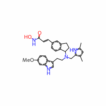 COc1ccc2c(CCN(Cc3[nH]c(C)cc3C)C3CCc4cc(C=CC(=O)NO)ccc43)c[nH]c2c1